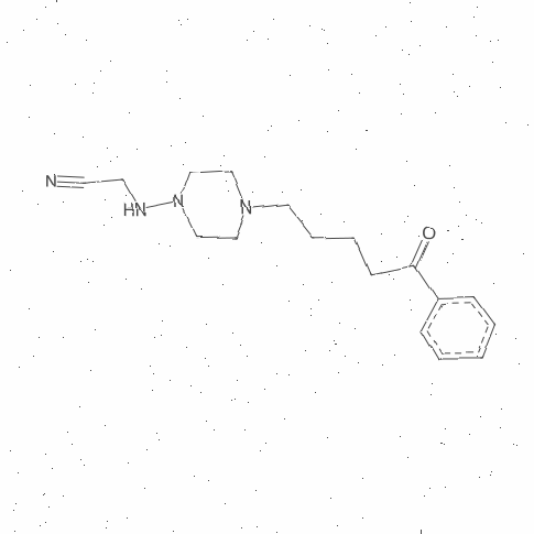 N#CCNN1CCN(CCCCC(=O)c2ccccc2)CC1